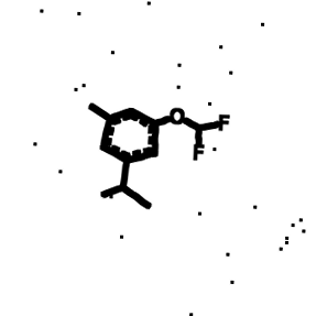 Cc1cc(OC(F)F)cc(C(C)C)c1